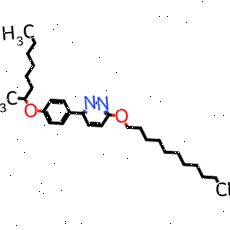 CCCCCCCCCCCOc1ccc(-c2ccc(OC(C)CCCCCC)cc2)nn1